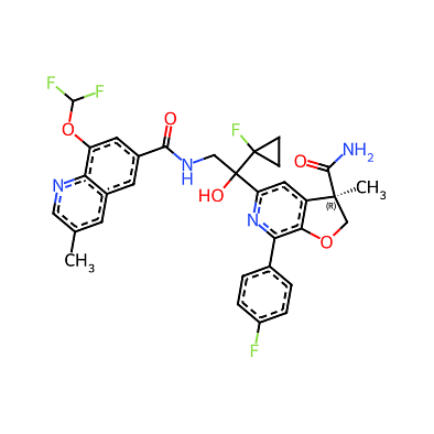 Cc1cnc2c(OC(F)F)cc(C(=O)NCC(O)(c3cc4c(c(-c5ccc(F)cc5)n3)OC[C@]4(C)C(N)=O)C3(F)CC3)cc2c1